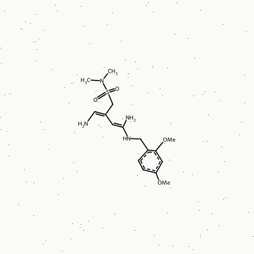 COc1ccc(CN/C(N)=C/C(=C\N)CS(=O)(=O)N(C)C)c(OC)c1